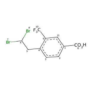 O=C(O)c1ccc(CC(Br)Br)c(C(F)(F)F)c1